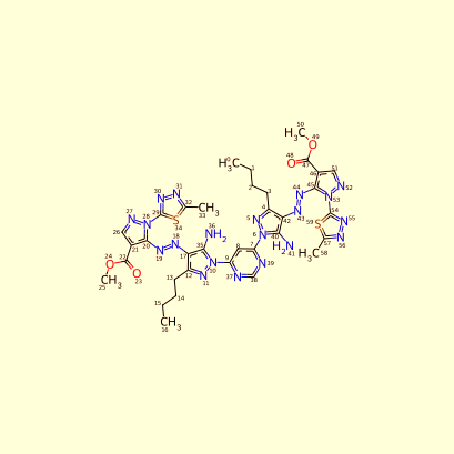 CCCCc1nn(-c2cc(-n3nc(CCCC)c(/N=N/c4c(C(=O)OC)cnn4-c4nnc(C)s4)c3N)ncn2)c(N)c1/N=N/c1c(C(=O)OC)cnn1-c1nnc(C)s1